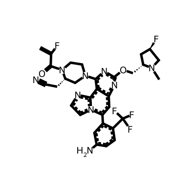 C=C(F)C(=O)N1CCN(c2nc(OC[C@@H]3C[C@@H](F)CN3C)nc3cc(-c4cc(N)ccc4C(F)(F)F)n4ccnc4c23)C[C@@H]1CC#N